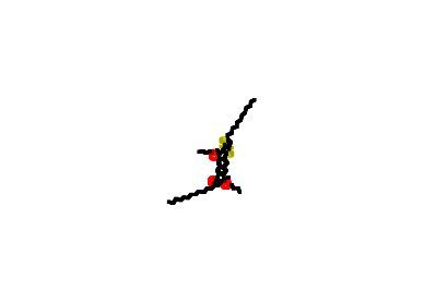 CCCCCCCCCCCCc1cc2c(o1)-c1cc3cc4c(cc3cc1C2(C)OCCCC)-c1sc2cc(CCCCCCCCCCCC)sc2c1C4(C)OCCCC